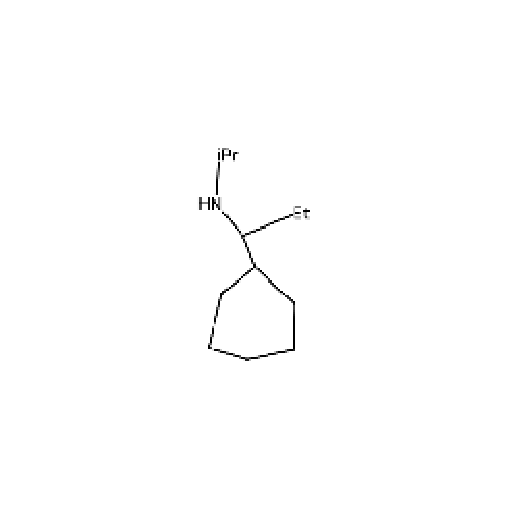 [CH2]CC(NC(C)C)C1CCCCC1